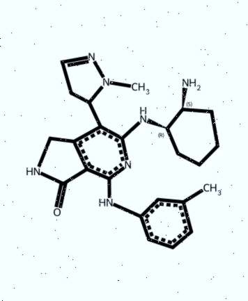 Cc1cccc(Nc2nc(N[C@@H]3CCCC[C@@H]3N)c(C3CC=NN3C)c3c2C(=O)NC3)c1